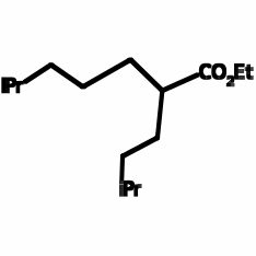 CCOC(=O)C(CCCC(C)C)CCC(C)C